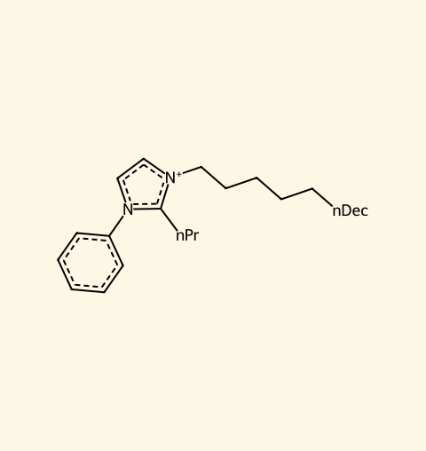 CCCCCCCCCCCCCCC[n+]1ccn(-c2ccccc2)c1CCC